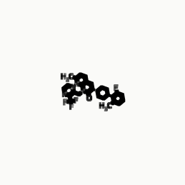 Cc1ccc2cc([C@H]3CC[C@H](c4c(C)cccc4F)CC3)c(=O)n(Cc3nccnc3C(F)(F)F)c2n1